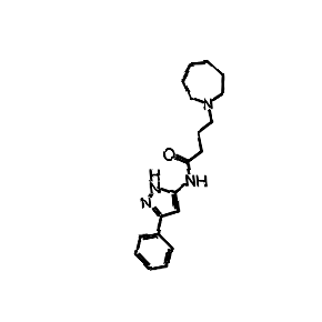 O=C(CCCN1CCCCCC1)Nc1cc(-c2ccccc2)n[nH]1